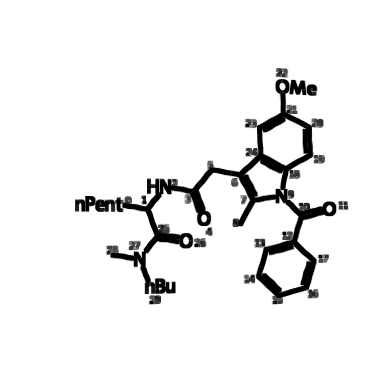 CCCCCC(NC(=O)Cc1c(C)n(C(=O)c2ccccc2)c2ccc(OC)cc12)C(=O)N(C)CCCC